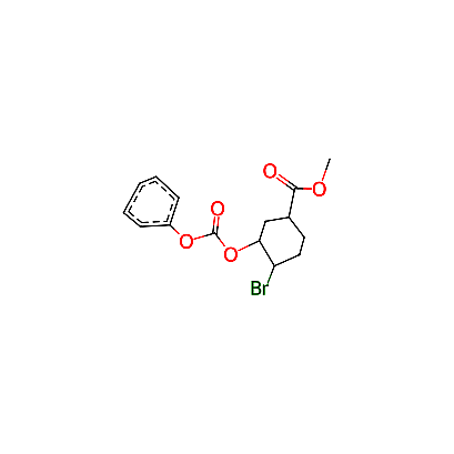 COC(=O)C1CCC(Br)C(OC(=O)Oc2ccccc2)C1